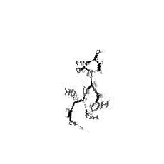 O=c1ccn([C@@H](CO)O[C@H](CO)[C@@H](O)C#CC(F)(F)F)c(=O)[nH]1